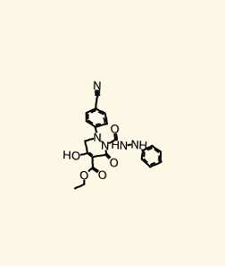 CCOC(=O)C1=C(O)CN(c2ccc(C#N)cc2)N(C(=O)NNc2ccccc2)C1=O